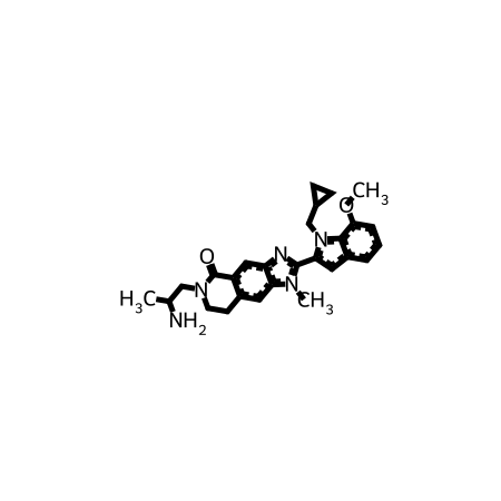 COc1cccc2cc(-c3nc4cc5c(cc4n3C)CCN(CC(C)N)C5=O)n(CC3CC3)c12